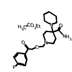 CCOC(C)=O.NC(=O)C1(N2CCCCC2)CCN(CCCC(=O)c2ccc(F)cc2)CC1